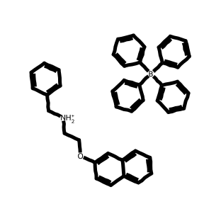 c1ccc(C[NH2+]CCOc2ccc3ccccc3c2)cc1.c1ccc([B-](c2ccccc2)(c2ccccc2)c2ccccc2)cc1